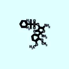 BC(B)(c1ccccc1)S(=O)(=O)OC1=C(N)O[C@@](B)(c2cccc(OC)c2OC)C1=O